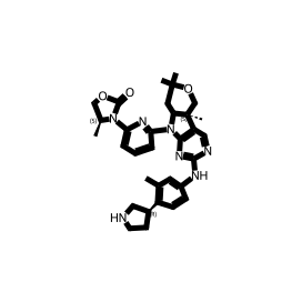 Cc1cc(Nc2ncc3c(n2)N(c2cccc(N4C(=O)OC[C@@H]4C)n2)C2CC(C)(C)OC[C@@]32C)ccc1[C@H]1CCNC1